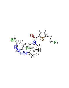 O=C(c1ccc(CCF)s1)N1C[C@@H]2CC[C@@H](Nc3ccc(Br)nn3)[C@]2(F)C1